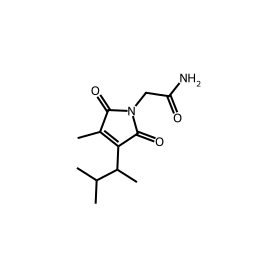 CC1=C(C(C)C(C)C)C(=O)N(CC(N)=O)C1=O